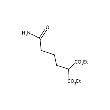 CCOC(=O)C(CCCC(N)=O)C(=O)OCC